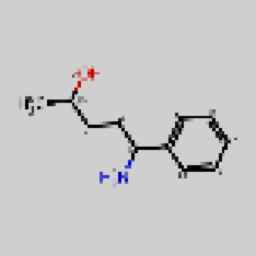 C[C@@H](O)CCC(N)c1ccccc1